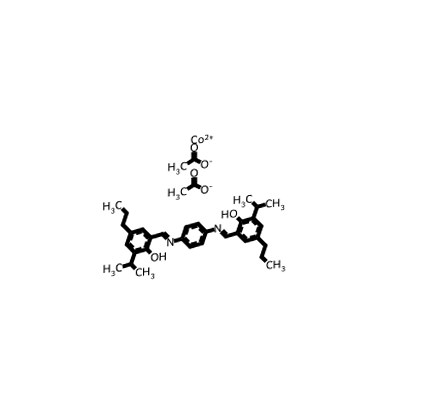 CC(=O)[O-].CC(=O)[O-].CCCc1cc(C=Nc2ccc(N=Cc3cc(CCC)cc(C(C)C)c3O)cc2)c(O)c(C(C)C)c1.[Co+2]